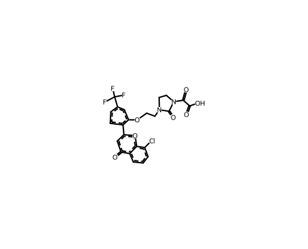 O=C(O)C(=O)N1CCN(CCOc2cc(C(F)(F)F)ccc2-c2cc(=O)c3cccc(Cl)c3o2)C1=O